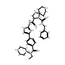 CCN(C(=O)c1ccc(-c2csc(NC(=O)C3CSC4(CCOCC4)N3C(=O)OCc3ccccc3)n2)cc1)N1CCOCC1